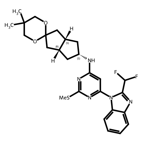 CSc1nc(N[C@@H]2C[C@@H]3CC4(C[C@@H]3C2)OCC(C)(C)CO4)cc(-n2c(C(F)F)nc3ccccc32)n1